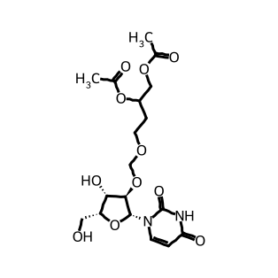 CC(=O)OCC(CCOCO[C@@H]1[C@@H](O)[C@@H](CO)O[C@H]1n1ccc(=O)[nH]c1=O)OC(C)=O